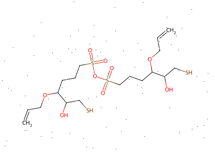 C=CCOC(CCCS(=O)(=O)OS(=O)(=O)CCCC(OCC=C)C(O)CS)C(O)CS